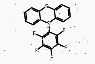 Fc1c(F)c(F)c([SH]2c3ccccc3Sc3ccccc32)c(F)c1F